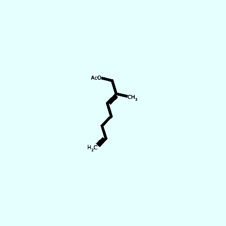 C=CCCC=C(C)COC(C)=O